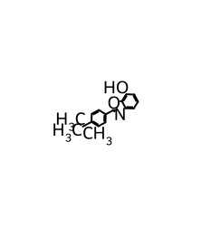 CC(C)(C)c1ccc(-c2nc3cccc(O)c3o2)cc1